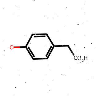 [O]c1ccc(CC(=O)O)cc1